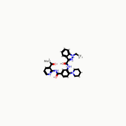 COC(=O)c1cccnc1NC(=O)c1ccc(N2CCCCC2)c(NC(=O)c2nn(CC(F)(F)F)c3ccccc23)c1